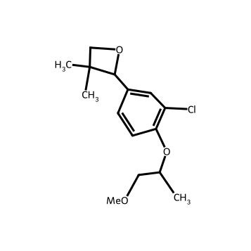 COCC(C)Oc1ccc(C2OCC2(C)C)cc1Cl